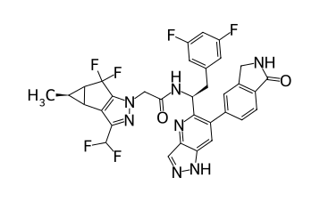 C[C@@H]1C2c3c(C(F)F)nn(CC(=O)N[C@@H](Cc4cc(F)cc(F)c4)c4nc5cn[nH]c5cc4-c4ccc5c(c4)CNC5=O)c3C(F)(F)C21